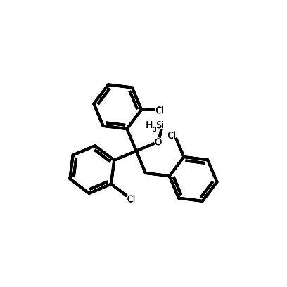 [SiH3]OC(Cc1ccccc1Cl)(c1ccccc1Cl)c1ccccc1Cl